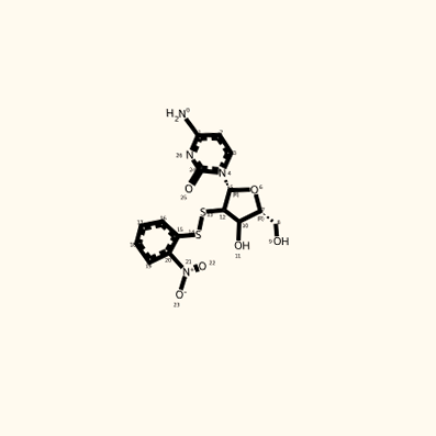 Nc1ccn([C@@H]2O[C@H](CO)C(O)C2SSc2ccccc2[N+](=O)[O-])c(=O)n1